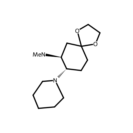 CN[C@H]1CC2(CC[C@@H]1N1CCCCC1)OCCO2